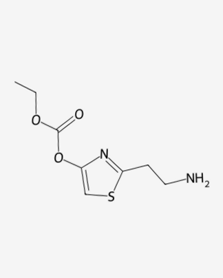 CCOC(=O)Oc1csc(CCN)n1